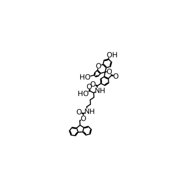 O=C(NCCCCC(NC(=O)c1ccc2c(c1)C1(OC2=O)c2ccc(O)cc2Oc2cc(O)ccc21)C(=O)O)OCC1c2ccccc2-c2ccccc21